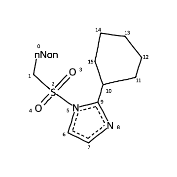 CCCCCCCCCCS(=O)(=O)n1ccnc1C1CCCCC1